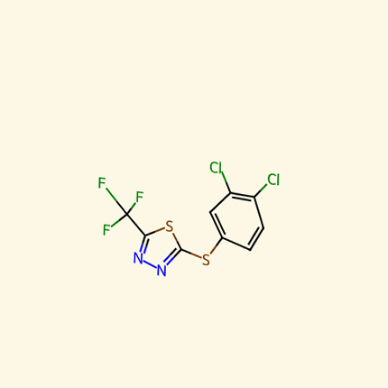 FC(F)(F)c1nnc(Sc2ccc(Cl)c(Cl)c2)s1